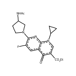 CCOC(=O)c1cn(C2CC2)c2nc(N3CCC(NC(C)=O)C3)c(F)cc2c1=O